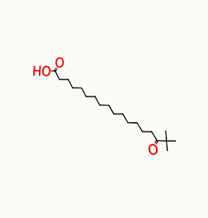 CC(C)(C)C(=O)CCCCCCCCCCCCCCC(=O)O